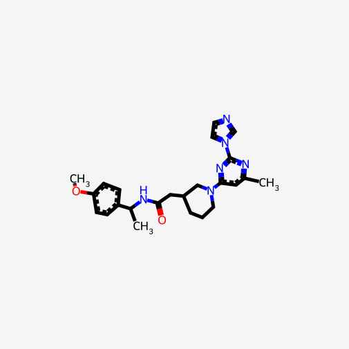 COc1ccc(C(C)NC(=O)CC2CCCN(c3cc(C)nc(-n4ccnc4)n3)C2)cc1